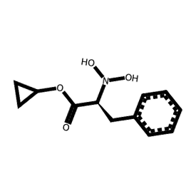 O=C(OC1CC1)[C@H](Cc1ccccc1)N(O)O